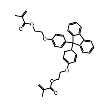 C=C(C)C(=O)OCCOC1=CCC(C2(c3ccc(OCCOC(=O)C(=C)C)cc3)c3ccccc3-c3ccccc32)C=C1